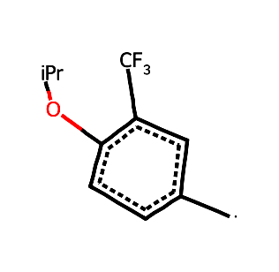 [CH2]c1ccc(OC(C)C)c(C(F)(F)F)c1